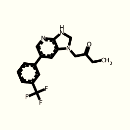 CCC(=O)CN1CNc2ncc(-c3cccc(C(F)(F)F)c3)cc21